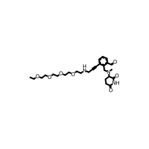 CCOCCOCCOCCOCCNCC#Cc1cccc(C=O)c1CN(C)C1CCC(=O)NC1=O